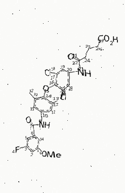 COc1cc(F)cc(C(=O)Nc2cc(C)c(Oc3c(Cl)cc(NC(=O)CCCC(=O)O)cc3Cl)c(C)c2)c1